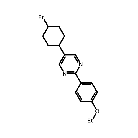 CCOc1ccc(-c2ncc(C3CCC(CC)CC3)cn2)cc1